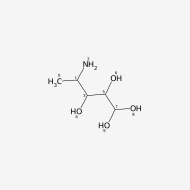 CC(N)C(O)C(O)C(O)O